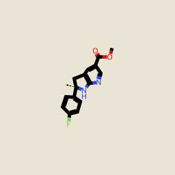 COC(=O)c1cnc2c(c1)C[C@](C)(c1ccc(F)cc1)N2